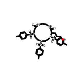 Cc1ccc(S(=O)(=O)N2CCN(S(=O)(=O)c3ccc(C)cc3)CC(=O)NCCNC(=O)C(CCCO)N(S(=O)(=O)c3ccc(C)cc3)CC2)cc1